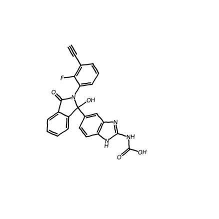 C#Cc1cccc(N2C(=O)c3ccccc3C2(O)c2ccc3[nH]c(NC(=O)O)nc3c2)c1F